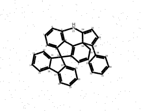 C1=CC2=C3c4c(cccc4C24c2ccccc2-c2ccccc24)NC2=CC=C(c4ccccc4)C23C1